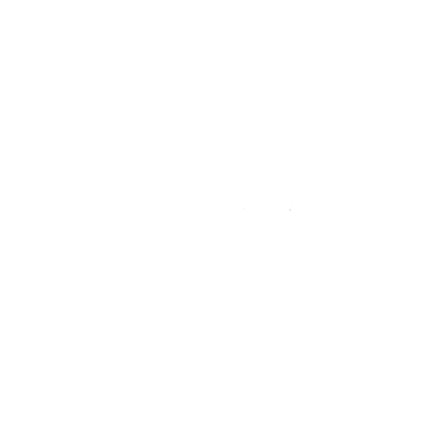 [S]CCCCCS